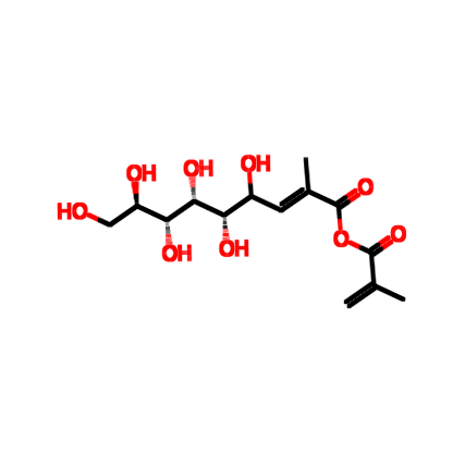 C=C(C)C(=O)OC(=O)C(C)=CC(O)[C@H](O)[C@@H](O)[C@H](O)[C@H](O)CO